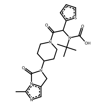 Cc1ncc2n1C(=O)N(C1CCN(C(=O)C(c3cccs3)N(C(=O)O)C(C)(C)C)CC1)C2